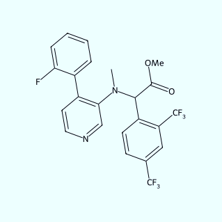 COC(=O)C(c1ccc(C(F)(F)F)cc1C(F)(F)F)N(C)c1cnccc1-c1ccccc1F